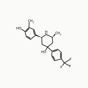 Cc1cc([C@@H]2CC(O)(c3ccc(C(F)(F)F)cc3)C[C@H](C)N2)ccc1O